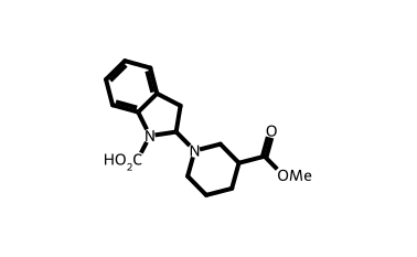 COC(=O)C1CCCN(C2Cc3ccccc3N2C(=O)O)C1